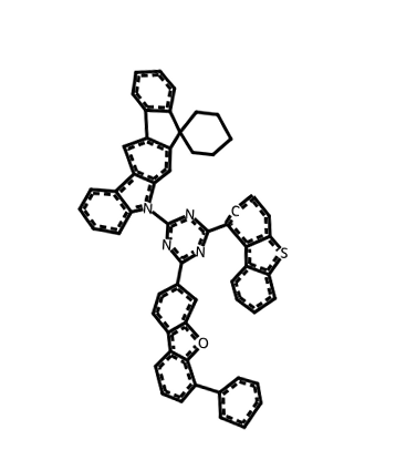 c1ccc(-c2cccc3c2oc2cc(-c4nc(-c5cccc6sc7ccccc7c56)nc(-n5c6ccccc6c6cc7c(cc65)C5(CCCCC5)c5ccccc5-7)n4)ccc23)cc1